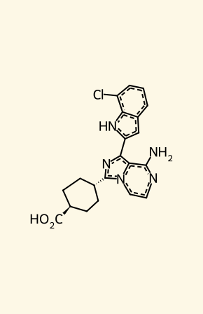 Nc1nccn2c1c(-c1cc3cccc(Cl)c3[nH]1)nc2[C@H]1CC[C@H](C(=O)O)CC1